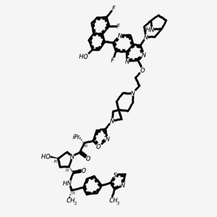 Cc1ncsc1-c1ccc([C@H](C)NC(=O)[C@@H]2C[C@@H](O)CN2C(=O)[C@@H](c2cc(N3CC4(CCN(CCOc5nc(N6CC7CCC(C6)N7)c6cnc(-c7cc(O)cc8ccc(F)c(F)c78)c(F)c6n5)CC4)C3)no2)C(C)C)cc1